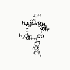 Cc1nc2cc([C@@H]3CC[C@](C)(O)CCC[C@H](C)[C@@H]4O[C@H](CO)C[C@H]4C(=O)C(C)(C)[C@@H](O)CC(=O)O3)ccc2s1